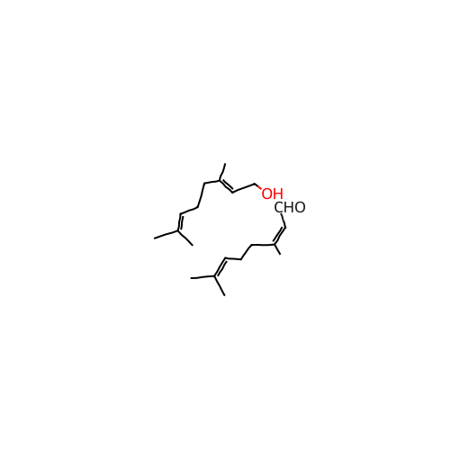 CC(C)=CCCC(C)=CC=O.CC(C)=CCCC(C)=CCO